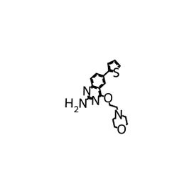 Nc1nc(OCCN2CCOCC2)c2cc(-c3cccs3)ccc2n1